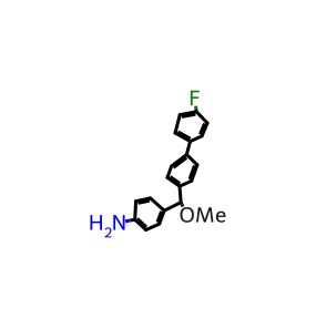 COC(c1ccc(N)cc1)c1ccc(-c2ccc(F)cc2)cc1